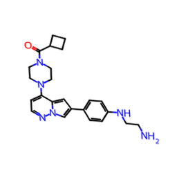 NCCNc1ccc(-c2cc3c(N4CCN(C(=O)C5CCC5)CC4)ccnn3c2)cc1